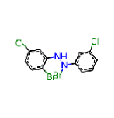 Clc1cccc(N(Br)Nc2cc(Cl)ccc2Br)c1